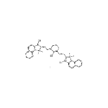 CCN1/C(=C/C=C2\CCCC(/C=C/C3=[N+](CC)c4ccc5ccccc5c4C3(C)C)=C2Cl)C(C)(C)c2c1ccc1ccccc21.[I-]